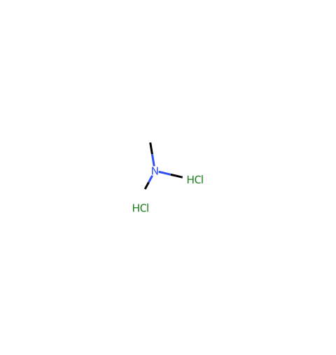 CN(C)C.Cl.Cl